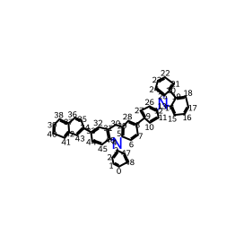 c1ccc(N2c3ccc(-c4ccc(-n5c6ccccc6c6ccccc65)cc4)cc3Cc3cc(-c4ccc5ccccc5c4)ccc32)cc1